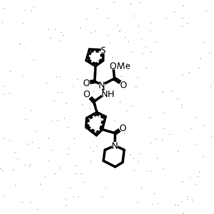 COC(=O)N(NC(=O)c1cccc(C(=O)N2CCCCC2)c1)C(=O)c1ccsc1